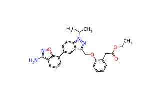 CCOC(=O)Cc1ccccc1OCc1nn(C(C)C)c2ccc(-c3cccc4c(N)noc34)cc12